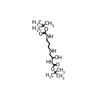 CC(C)(C)OC(=O)NCCCNCC(O)NC(=O)OC(C)(C)C